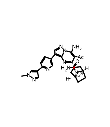 CC(=O)c1c([C@@H]2C[C@H]3CC[C@@H](C2)N3C(N)=O)nc2c(-c3ccc(-c4cnn(C)c4)nc3)cnn2c1N